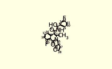 Cc1c(C(=O)N[C@@H](O)c2cccc(F)c2)c2cccc(F)c2c(=O)n1CC1C=COC1